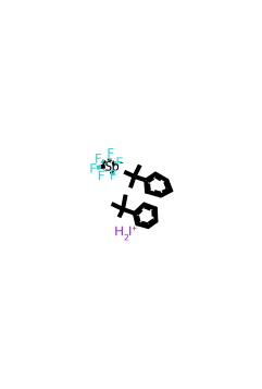 CC(C)(C)c1ccccc1.CC(C)(C)c1ccccc1.[F][Sb-]([F])([F])([F])([F])[F].[IH2+]